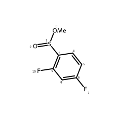 COS(=O)c1ccc(F)cc1F